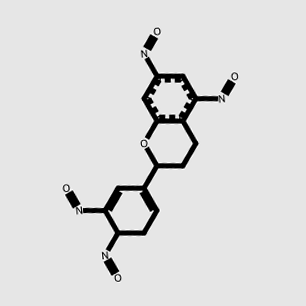 O=NC1=CC(C2CCc3c(N=O)cc(N=O)cc3O2)=CCC1N=O